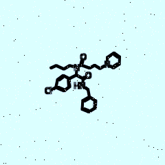 CCCCN(C(=O)CCCN1C=CC=CC1)C(C(=O)NCc1ccccc1)c1ccc(Cl)cc1